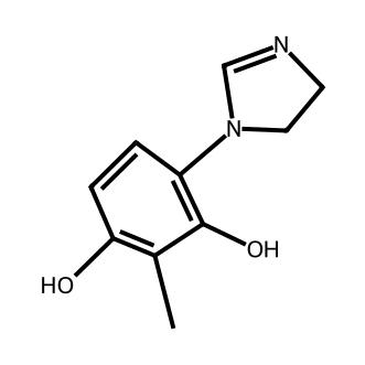 Cc1c(O)ccc(N2C=NCC2)c1O